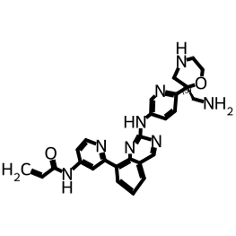 C=CC(=O)Nc1ccnc(-c2cccc3cnc(Nc4ccc([C@]5(CN)CNCCO5)nc4)nc23)c1